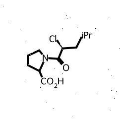 CC(C)C[C@H](Cl)C(=O)N1CCCC1C(=O)O